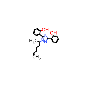 C=CCCCC(C)n1nc(-c2ccccc2O)nc1-c1ccccc1O